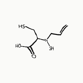 C=CCN(S)C(CS)C(=O)O